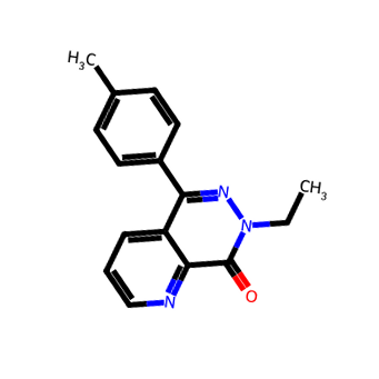 CCn1nc(-c2ccc(C)cc2)c2cccnc2c1=O